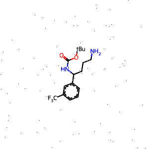 CC(C)(C)OC(=O)NC(CCCN)c1cccc(C(F)(F)F)c1